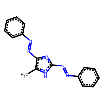 Cc1[nH]c(N=Nc2ccccc2)nc1N=Nc1ccccc1